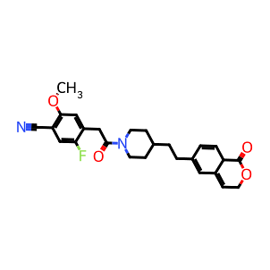 COc1cc(CC(=O)N2CCC(CCC3=CC4=CCOC(=O)C4C=C3)CC2)c(F)cc1C#N